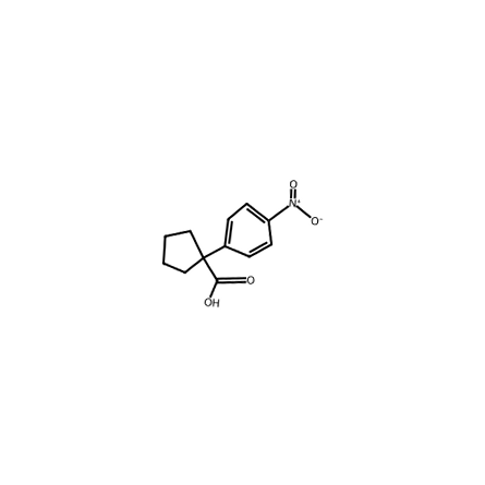 O=C(O)C1(c2ccc([N+](=O)[O-])cc2)CCCC1